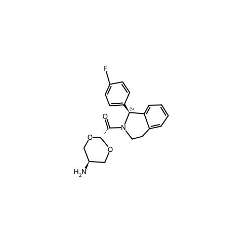 N[C@H]1CO[C@H](C(=O)N2CCc3ccccc3[C@@H]2c2ccc(F)cc2)OC1